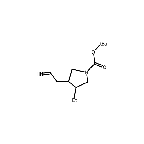 CCC1CN(C(=O)OC(C)(C)C)CC1CC=N